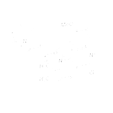 COC1C=Cc2nc(Cl)c3c(c2C1)N(OCCCN1CCCC1)C(C)(C)CC3